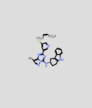 CC(C)c1cnn2c(N[C@@H]3CCc4[nH]c5ccccc5c4C3)nc(-c3cncc(F)c3)nc12.O=C(O)/C=C\C(=O)O